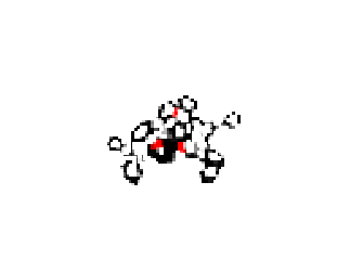 c1ccc(-c2cc(-c3ccccc3)nc(CC3(Cc4nc(-c5ccccc5)cc(-c5ccccc5)n4)c4ccccc4Oc4c3cccc4[Si](c3ccccc3)(c3ccccc3)c3cccc(-n4c5ccccc5n5c6ccccc6nc45)c3)n2)cc1